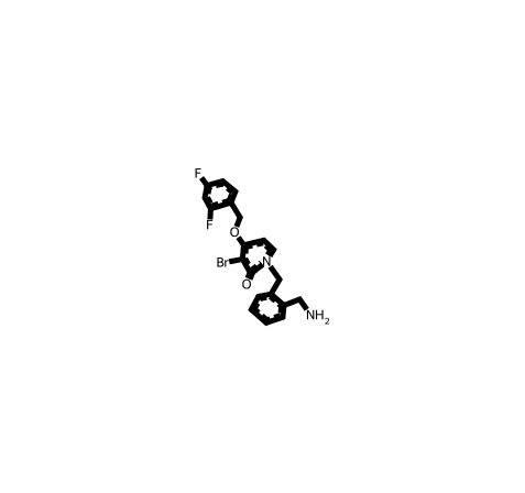 NCc1ccccc1Cn1ccc(OCc2ccc(F)cc2F)c(Br)c1=O